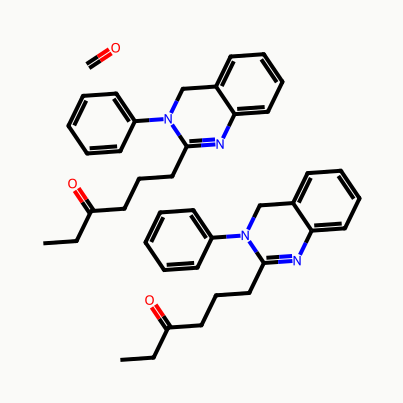 C=O.CCC(=O)CCCC1=Nc2ccccc2CN1c1ccccc1.CCC(=O)CCCC1=Nc2ccccc2CN1c1ccccc1